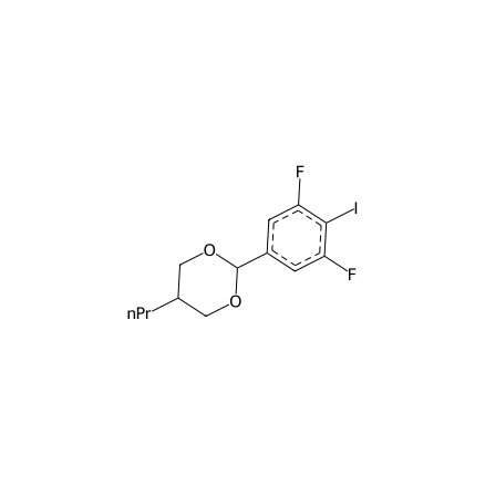 CCCC1COC(c2cc(F)c(I)c(F)c2)OC1